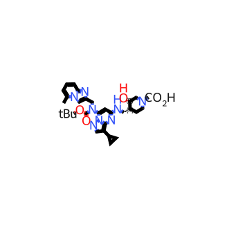 Cc1cccc2nc(CN(C(=O)OC(C)(C)C)c3cc(NC[C@H]4CCN(C(=O)O)C[C@@H]4O)nc4c(C5CC5)cnn34)cn12